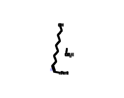 CC(=O)O.CCCCC/C=C\CCCCCCCO